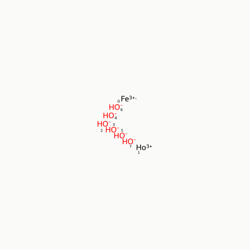 [Fe+3].[Ho+3].[OH-].[OH-].[OH-].[OH-].[OH-].[OH-]